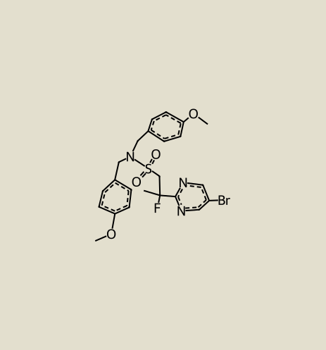 COc1ccc(CN(Cc2ccc(OC)cc2)S(=O)(=O)CC(C)(F)c2ncc(Br)cn2)cc1